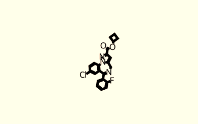 O=C(OC1CCC1)c1cc2n(n1)-c1ccc(Cl)cc1C(c1ccccc1F)=NC2